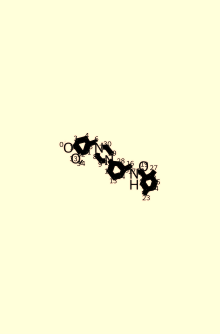 COc1ccc(CN2CCN(c3cccc(CNC(=O)c4cc(C)ccc4C)c3)CC2)cc1OC